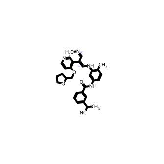 C/N=C\C(=C/Nc1cc(NC(=O)c2cccc(C(C)C#N)c2)ccc1C)c1cnccc1OCC1CCCO1